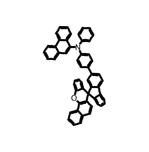 c1ccc(N(c2ccc(-c3ccc4c(c3)C3(c5ccccc5Oc5c3ccc3ccccc53)c3ccccc3-4)cc2)c2cc3ccccc3c3ccccc23)cc1